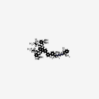 C=C(C)C(=O)NCCCN(Cc1ccccc1B(O)O)Cc1c2ccccc2c(CN(CCCNC(=O)C(=C)C)Cc2ccccc2B(O)O)c2cc(-c3cccc(-c4ccc5c(c4)C(C)(C)/C(=C/C=C/C=C/C4=[N+](C)c6ccccc6C4(C)C)N5C)c3)ccc12